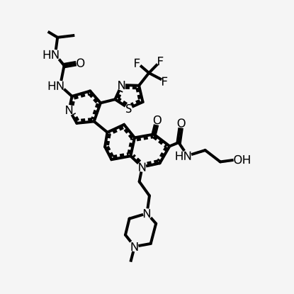 CC(C)NC(=O)Nc1cc(-c2nc(C(F)(F)F)cs2)c(-c2ccc3c(c2)c(=O)c(C(=O)NCCO)cn3CCN2CCN(C)CC2)cn1